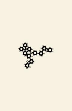 c1ccc(C2(c3ccccc3)c3ccccc3-c3c(N(c4ccc(-c5cccc(-c6cccc7c6sc6ccccc67)c5)cc4)c4cccc(-c5cccc6c5oc5ccccc56)c4)cccc32)cc1